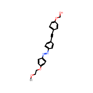 CCOCCOc1ccc(N=Nc2ccc(C#Cc3ccc(OCO)cc3)cc2)cc1